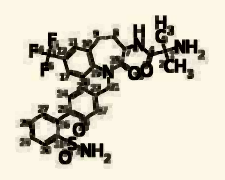 CC(C)(N)C(=O)N[C@@H]1CCc2cc(C(F)(F)F)ccc2N(Cc2ccc(-c3ccccc3S(N)(=O)=O)cc2)C1=O